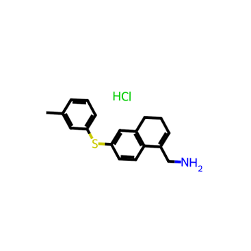 Cc1cccc(Sc2ccc3c(c2)CCC=C3CN)c1.Cl